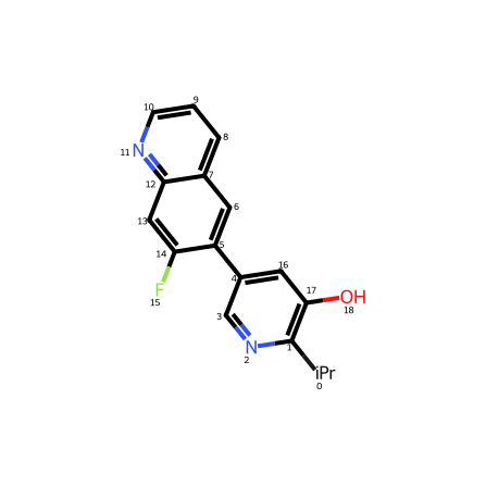 CC(C)c1ncc(-c2cc3cccnc3cc2F)cc1O